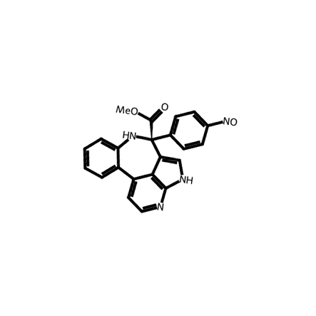 COC(=O)[C@]1(c2ccc(N=O)cc2)Nc2ccccc2-c2ccnc3[nH]cc1c23